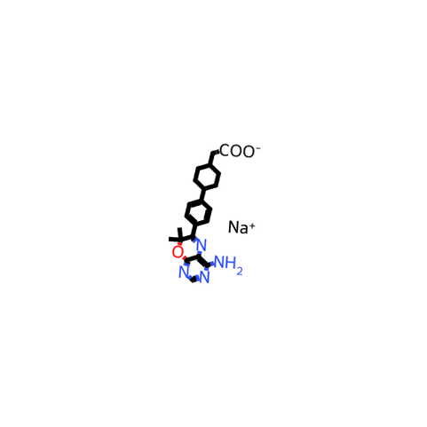 CC1(C)Oc2ncnc(N)c2N=C1c1ccc(C2CCC(CC(=O)[O-])CC2)cc1.[Na+]